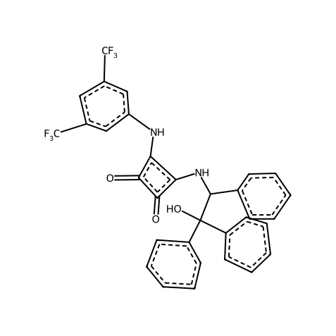 O=c1c(Nc2cc(C(F)(F)F)cc(C(F)(F)F)c2)c(NC(c2ccccc2)C(O)(c2ccccc2)c2ccccc2)c1=O